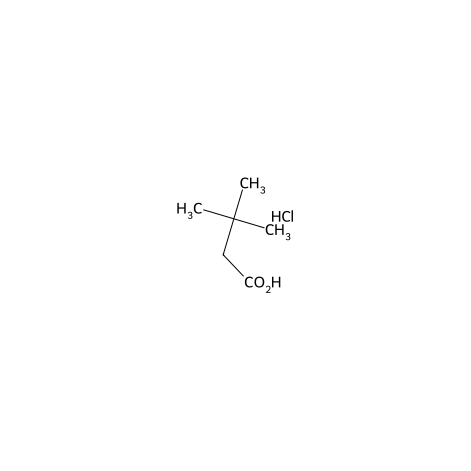 CC(C)(C)CC(=O)O.Cl